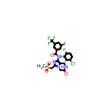 CS(=O)(=O)Cc1nc(NC(=O)c2cc(F)cc(C(F)(F)F)c2)c2n1CC(=O)N[C@H]2c1cc(F)ccc1Cl